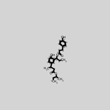 CCC(C)OC(=O)CC(C)c1ccc(O)c(C(CC)OC(=O)CCc2ccc(O)cc2)c1